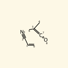 C=CC#N.CC(C)=C=O